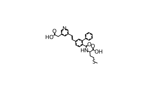 CSCCC(NC(=O)c1ccc(C=Cc2cncc(CC(=O)O)c2)cc1-c1ccccc1)C(=O)O